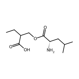 CCC(COC(=O)[C@@H](N)CC(C)C)C(=O)O